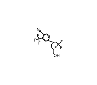 N#Cc1ccc(N(CCCO)CC(F)(F)F)cc1C(F)(F)F